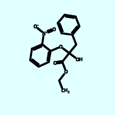 CCOC(=O)C(O)(Cc1ccccc1)Oc1ccccc1[N+](=O)[O-]